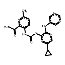 CNC(=O)c1nc(C)ccc1NC(=O)Oc1nc(C2CC2)cnc1Nc1cncnc1